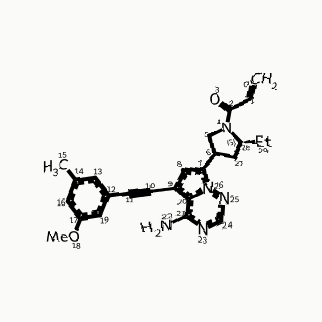 C=CC(=O)N1CC(c2cc(C#Cc3cc(C)cc(OC)c3)c3c(N)ncnn23)C[C@@H]1CC